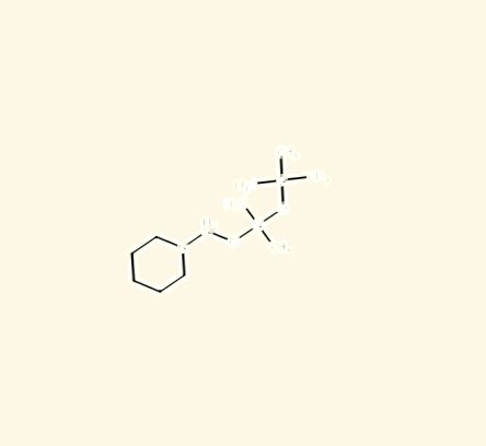 C[Si](C)(C)O[Si](C)(C)O[SiH2]N1CCCCC1